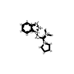 C[N+](C)=C(On1nnc2ccccc21)N1CCCC1